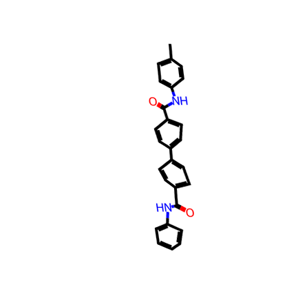 Cc1ccc(NC(=O)c2ccc(-c3ccc(C(=O)Nc4ccccc4)cc3)cc2)cc1